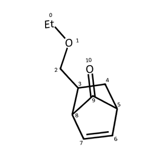 CCOCC1CC2C=CC1C2=O